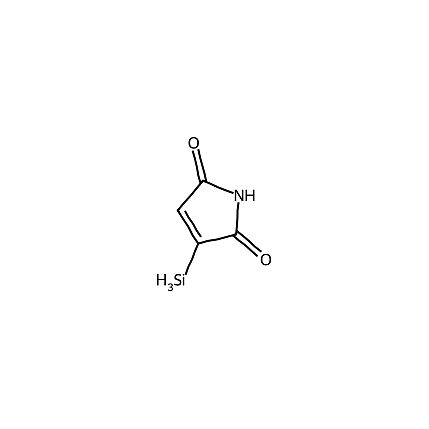 O=C1C=C([SiH3])C(=O)N1